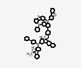 CC1(C)c2ccccc2-c2ccc(N(c3ccc(-c4ccccc4)cc3)c3ccc4c(c3)-c3cc5ccccc5cc3C4(C)Cc3ccc(-c4ccc(N(c5ccc6oc7ccccc7c6c5)c5ccc6sc7cccc(N(c8ccccc8)c8ccccc8)c7c6c5)cc4)cc3)cc21